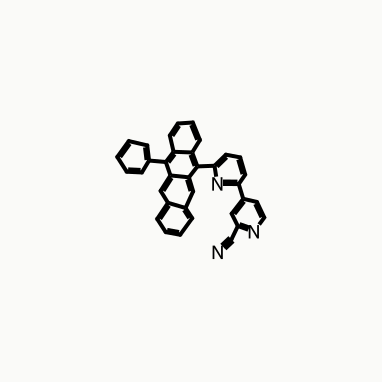 N#Cc1cc(-c2cccc(-c3c4ccccc4c(-c4ccccc4)c4cc5ccccc5cc34)n2)ccn1